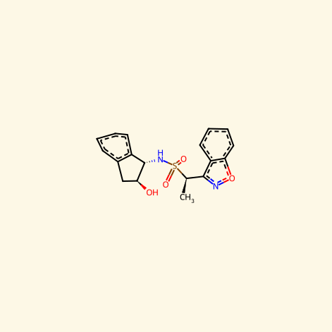 C[C@H](c1noc2ccccc12)S(=O)(=O)N[C@H]1c2ccccc2C[C@@H]1O